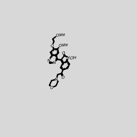 COCCOc1cc2ncnc(C3=c4cc(C(=O)CN5CCOCC5)ccc4=NC3=O)c2cc1OC.Cl